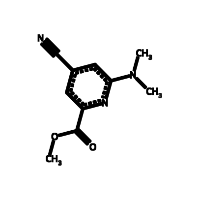 COC(=O)c1cc(C#N)cc(N(C)C)n1